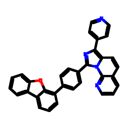 c1cnc2c(c1)ccc1c(-c3ccncc3)nc(-c3ccc(-c4cccc5c4oc4ccccc45)cc3)n12